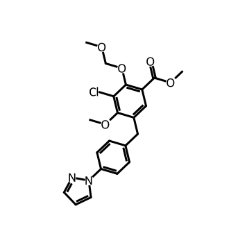 COCOc1c(C(=O)OC)cc(Cc2ccc(-n3cccn3)cc2)c(OC)c1Cl